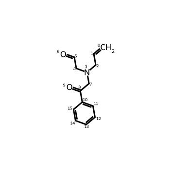 C=CCN(CC=O)CC(=O)c1ccccc1